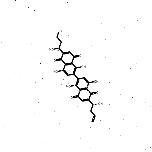 C=CC[C@@H](O)C1=CC(=O)c2c(O)c(-c3cc(O)c4c(c3O)C(=O)C=C([C@@H](O)CCC(C)C)C4=O)cc(O)c2C1=O